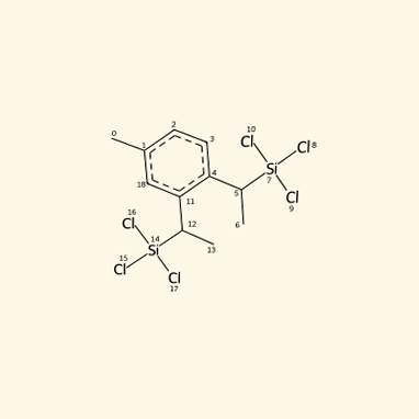 Cc1ccc(C(C)[Si](Cl)(Cl)Cl)c(C(C)[Si](Cl)(Cl)Cl)c1